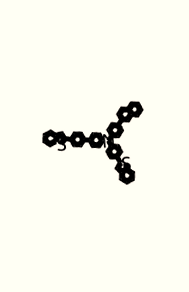 c1ccc2cc(-c3ccc(N(c4ccc(-c5ccc(-c6cc7ccccc7s6)cc5)cc4)c4ccc(-c5cc6ccccc6s5)cc4)cc3)ccc2c1